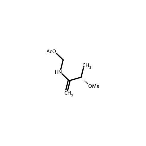 C=C(NCOC(C)=O)[C@H](C)OC